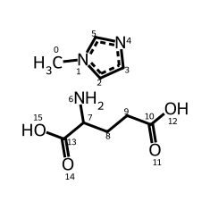 Cn1ccnc1.NC(CCC(=O)O)C(=O)O